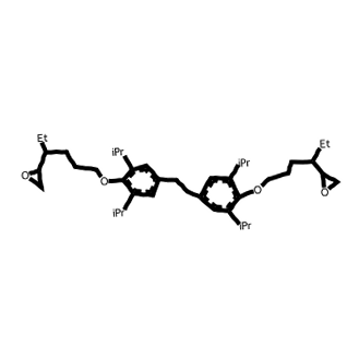 CCC(CCCOc1c(C(C)C)cc(CCc2cc(C(C)C)c(OCCCC(CC)C3CO3)c(C(C)C)c2)cc1C(C)C)C1CO1